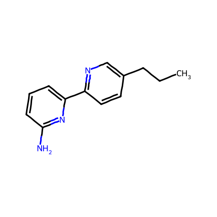 CCCc1ccc(-c2cccc(N)n2)nc1